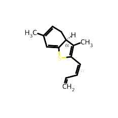 C=C/C=C\C1=C(C)[C@@H]2CC=C(C)C=C2S1